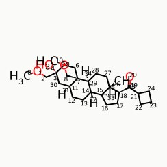 COC[C@@]1(O)CC[C@@]2(COC)[C@@H](CC[C@H]3[C@@H]4CC[C@H](C(=O)C5CCC5)[C@@]4(C)CC[C@@H]32)C1